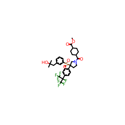 COC(=O)C1CCC(C(=O)N2CCC(c3ccc(C(F)(C(F)(F)F)C(F)(F)F)cc3)(S(=O)(=O)c3cccc(CC(C)(C)O)c3)C2)CC1